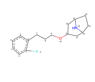 Fc1ccccc1CCCOC1CC2CCC(C1)N2